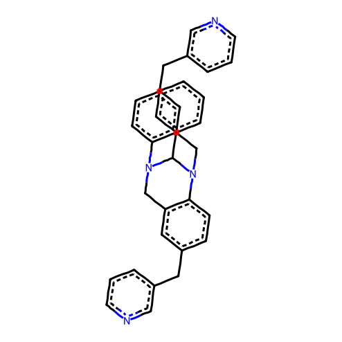 c1ccc(C2N3Cc4cc(Cc5cccnc5)ccc4N2Cc2cc(Cc4cccnc4)ccc23)cc1